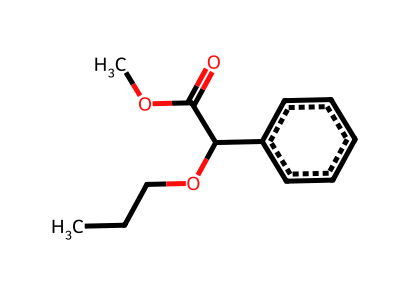 CCCOC(C(=O)OC)c1ccccc1